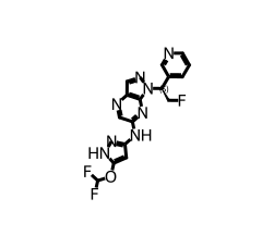 FC[C@H](c1cccnc1)n1ncc2ncc(Nc3cc(OC(F)F)[nH]n3)nc21